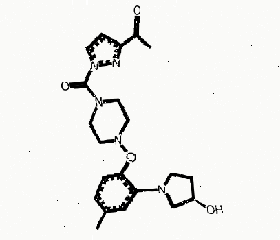 CC(=O)c1ccn(C(=O)N2CCN(Oc3ccc(C)cc3N3CC[C@@H](O)C3)CC2)n1